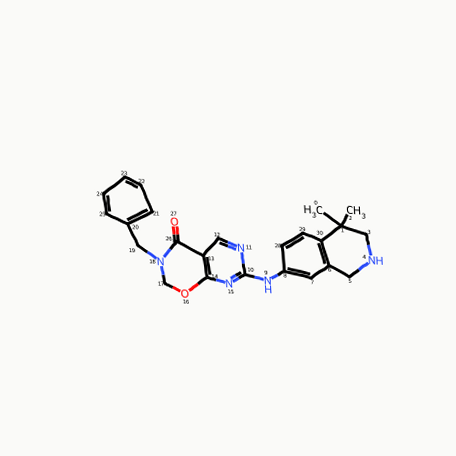 CC1(C)CNCc2cc(Nc3ncc4c(n3)OCN(Cc3ccccc3)C4=O)ccc21